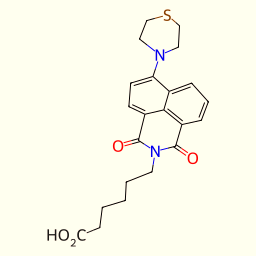 O=C(O)CCCCCN1C(=O)c2cccc3c(N4CCSCC4)ccc(c23)C1=O